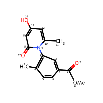 COC(=O)c1ccc(C)c(-n2c(C)cc(O)cc2=O)c1